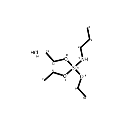 CCCN[Si](OCC)(OCC)OCC.Cl